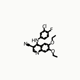 CCOc1cc2ncc(C#N)c(Nc3ccc(F)c(Cl)c3)c2cc1OCC